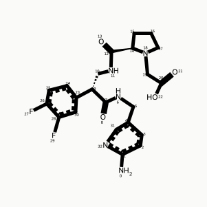 Nc1ccc(CNC(=O)[C@@H](CNC(=O)[C@H]2CCCN2CC(=O)O)c2ccc(F)c(F)c2)cn1